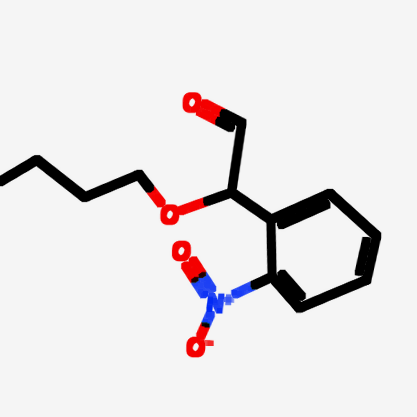 CCCCOC(C=O)c1ccccc1[N+](=O)[O-]